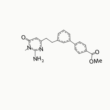 COC(=O)c1ccc(-c2cccc(CCc3cc(=O)n(C)c(N)n3)c2)cc1